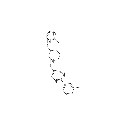 Cc1cccc(-c2ncc(CN3CCCC(Cn4ccnc4C)C3)cn2)c1